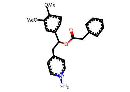 COc1ccc(C(Cc2cc[n+](C)cc2)OC(=O)Cc2ccccc2)cc1OC